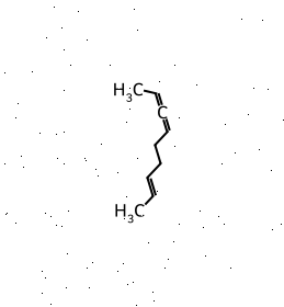 CC=C=CCCC=CC